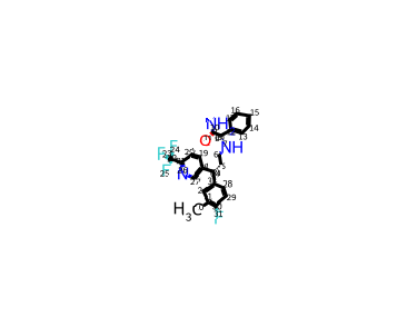 Cc1cc([C@@H](CCN[C@H](C(N)=O)c2ccccc2)c2ccc(C(F)(F)F)nc2)ccc1F